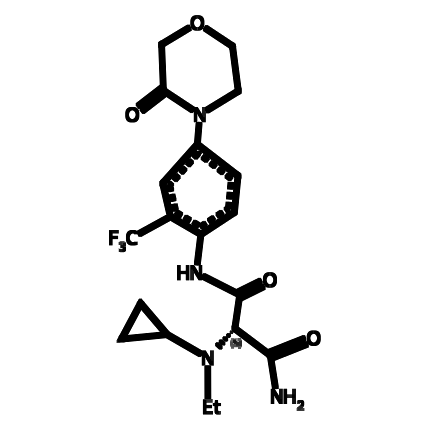 CCN(C1CC1)[C@@H](C(N)=O)C(=O)Nc1ccc(N2CCOCC2=O)cc1C(F)(F)F